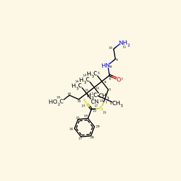 CC(C)(CC(C)(C(=O)NCCN)C(C)(C)C(C)(C#N)CCC(=O)O)SC(=S)c1ccccc1